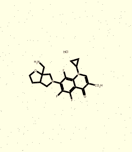 Cl.NCC12CN(c3c(F)c(F)c4c(=O)c(C(=O)O)cn(C5CC5)c4c3F)CC1CCO2